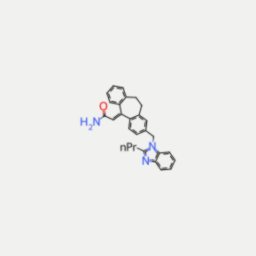 CCCc1nc2ccccc2n1Cc1ccc2c(c1)CCc1ccccc1/C2=C\C(N)=O